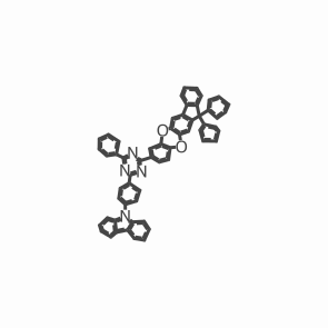 c1ccc(-c2nc(-c3ccc(-n4c5ccccc5c5ccccc54)cc3)nc(-c3ccc4c(c3)Oc3cc5c(cc3O4)C(c3ccccc3)(c3ccccc3)c3ccccc3-5)n2)cc1